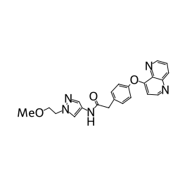 COCCn1cc(NC(=O)Cc2ccc(Oc3ccnc4cccnc34)cc2)cn1